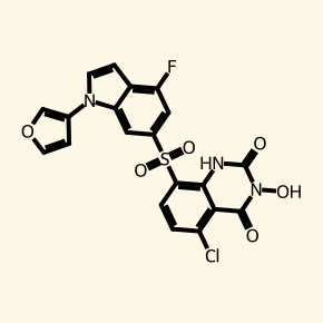 O=c1[nH]c2c(S(=O)(=O)c3cc(F)c4ccn(-c5ccoc5)c4c3)ccc(Cl)c2c(=O)n1O